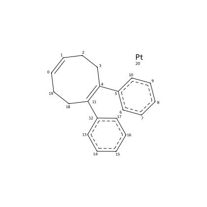 C1=CCCC(c2ccccc2)=C(c2ccccc2)CC1.[Pt]